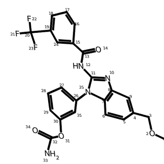 CCOCc1ccc2c(c1)nc(NC(=O)c1cccc(C(F)(F)F)c1)n2-c1cccc(OC(N)=O)c1